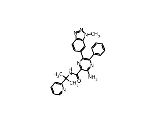 Cn1nnc2ccc(-c3nc(C(=O)NC(C)(C)c4ccccn4)c(N)nc3-c3ccccc3)cc21